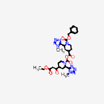 CCOC(=O)CC(=O)C1CCN(C(=O)OC(=O)C2CCN(C(=O)OCc3ccccc3)C(c3nnnn3C)C2)C(c2nnnn2C)C1